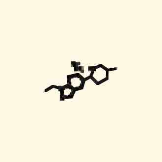 CCn1ncc2cc(C3CCC(C)CN3)ccc21.[BH4-].[Na+]